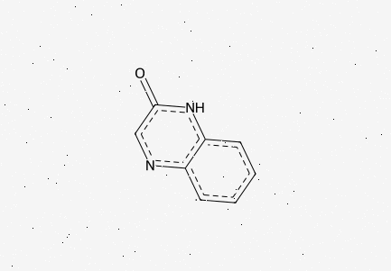 O=c1cnc2[c]cccc2[nH]1